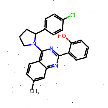 Cc1ccc2c(N3CCCC3c3ccc(Cl)cc3)nc(-c3ccccc3O)nc2c1